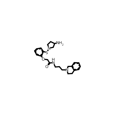 NC1CCN(Sc2ccccc2OCC(=O)NCCCN2CCc3ccccc3C2)C1